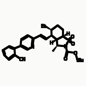 CC[C@@H]1CC[C@@H]2[C@H]([C@H]1C=Cc1ccc(-c3ccccc3C#N)cn1)[C@@H](C)N(C(=O)OC(C)(C)C)S2(=O)=O